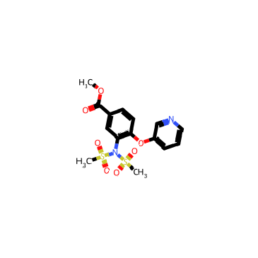 COC(=O)c1ccc(Oc2cccnc2)c(N(S(C)(=O)=O)S(C)(=O)=O)c1